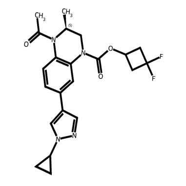 CC(=O)N1c2ccc(-c3cnn(C4CC4)c3)cc2N(C(=O)OC2CC(F)(F)C2)C[C@@H]1C